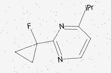 CC(C)c1ccnc(C2(F)CC2)n1